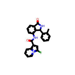 Cc1ccccc1C1NC(=O)c2cccc(NC(=O)c3cc(F)n4ccccc34)c21